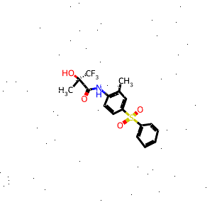 Cc1cc(S(=O)(=O)c2ccccc2)ccc1NC(=O)[C@@](C)(O)C(F)(F)F